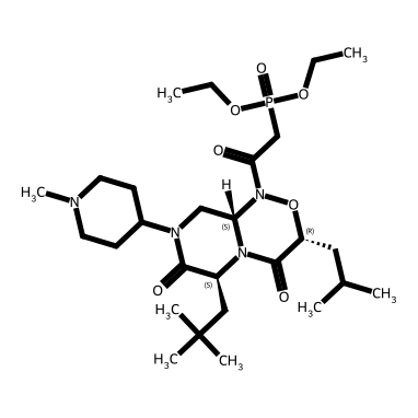 CCOP(=O)(CC(=O)N1O[C@H](CC(C)C)C(=O)N2[C@@H]1CN(C1CCN(C)CC1)C(=O)[C@@H]2CC(C)(C)C)OCC